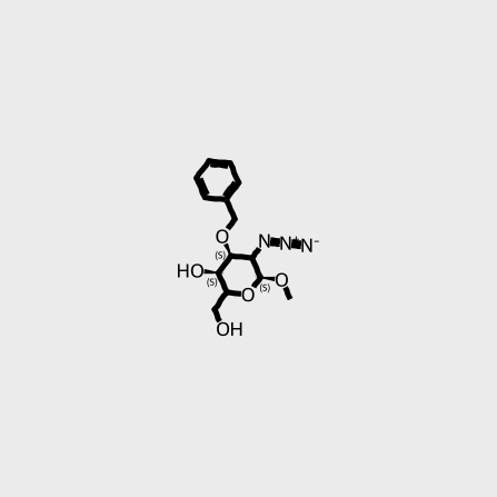 CO[C@H]1OC(CO)[C@@H](O)[C@@H](OCc2ccccc2)C1N=[N+]=[N-]